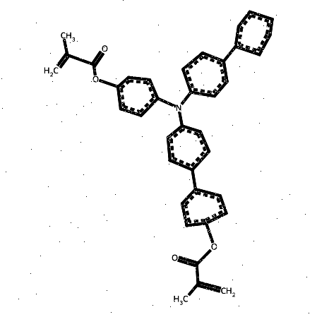 C=C(C)C(=O)Oc1ccc(-c2ccc(N(c3ccc(OC(=O)C(=C)C)cc3)c3ccc(-c4ccccc4)cc3)cc2)cc1